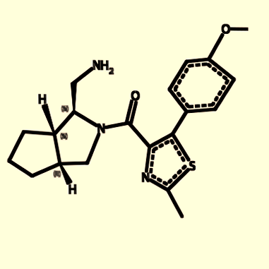 COc1ccc(-c2sc(C)nc2C(=O)N2C[C@@H]3CCC[C@@H]3[C@H]2CN)cc1